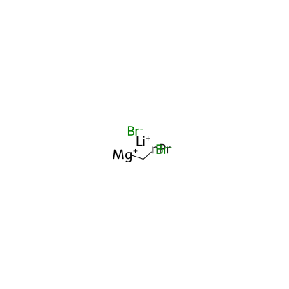 CCC[CH2][Mg+].[Br-].[Br-].[Li+]